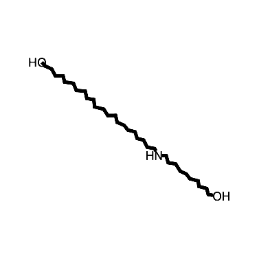 OCCCCCCCCCCCCCCCCCCCCCCNCCCCCCCCCCO